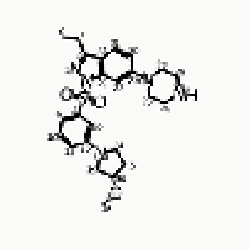 CCc1nn(S(=O)(=O)c2cccc(N3CC[C@H](OC)C3)c2)c2cc(N3CCNCC3)ccc12